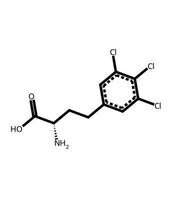 N[C@@H](CCc1cc(Cl)c(Cl)c(Cl)c1)C(=O)O